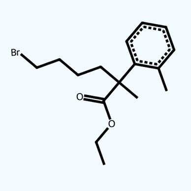 CCOC(=O)C(C)(CCCCBr)c1ccccc1C